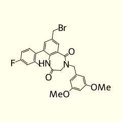 COc1cc(CN2CC(=O)Nc3c(cc(CBr)cc3-c3ccc(F)cc3C)C2=O)cc(OC)c1